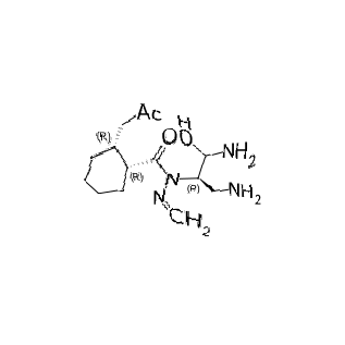 C=NN(C(=O)[C@@H]1CCCC[C@@H]1CC(C)=O)[C@H](CN)C(N)O